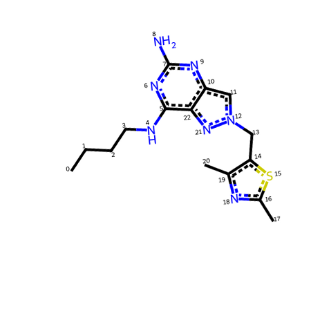 CCCCNc1nc(N)nc2cn(Cc3sc(C)nc3C)nc12